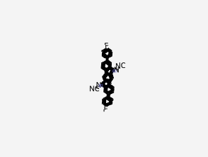 [C-]#[N+]/N=c1\c2cc(-c3ccc(F)cc3)ccc2c2cc3/c(=N/C#N)c4cc(-c5ccc(F)cc5)ccc4c3cc12